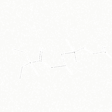 CCC(C)(CC)C(=O)CC(C)CC(C)(C)CCNC